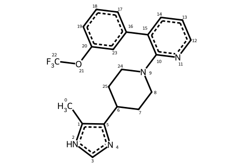 Cc1[nH]cnc1C1CCN(c2ncccc2-c2cccc(OC(F)(F)F)c2)CC1